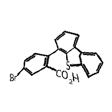 O=C(O)c1cc(Br)ccc1-c1cccc2c1sc1ccccc12